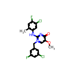 COc1cn(Cc2cc(F)cc(Cl)c2)c(Nc2cc(Cl)c(F)cc2C)nc1=O